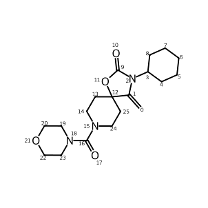 C=C1N(C2CCCCC2)C(=O)OC12CCN(C(=O)N1CCOCC1)CC2